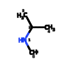 [CH]NC(C)C